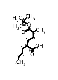 CCCCC(CCC(C)C(=O)OC(C)(C)C)C(=O)O